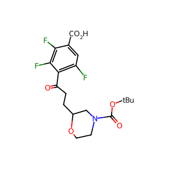 CC(C)(C)OC(=O)N1CCOC(CCC(=O)c2c(F)cc(C(=O)O)c(F)c2F)C1